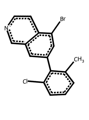 Cc1cccc(Cl)c1-c1cc(Br)c2ccncc2c1